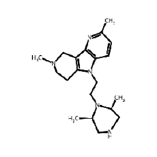 Cc1ccc2c(n1)c1c(n2CCN2[C@H](C)CNC[C@@H]2C)CCN(C)C1